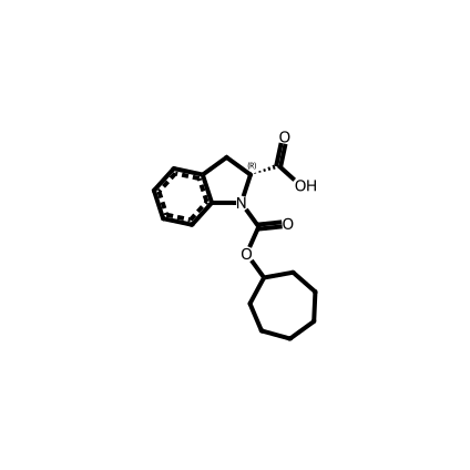 O=C(O)[C@H]1Cc2ccccc2N1C(=O)OC1CCCCCC1